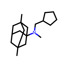 CN(CC1CCCC1)C12CC3CC(C)(CC(C)(C3)C1)C2